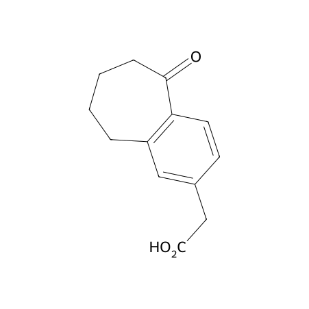 O=C(O)Cc1ccc2c(c1)CCCCC2=O